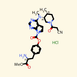 COC(=O)[C@@H](N)Cc1ccc(OC(=O)n2ccc3c(N(C)[C@H]4CN(C(=O)CC#N)CC[C@H]4C)ncnc32)cc1.Cl